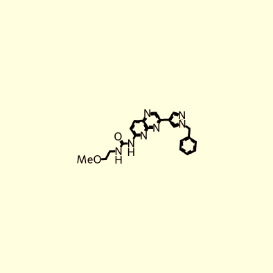 COCCNC(=O)Nc1ccc2ncc(-c3cnn(Cc4ccccc4)c3)nc2n1